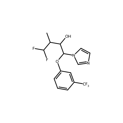 CC(C(F)F)C(O)C(Oc1cccc(C(F)(F)F)c1)n1ccnc1